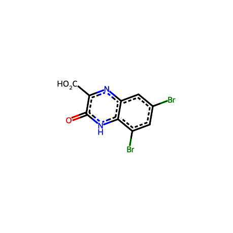 O=C(O)c1nc2cc(Br)cc(Br)c2[nH]c1=O